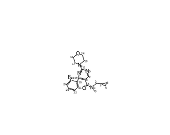 CN(CC1CC1)C(=O)c1cnc(N2CCOCC2)nc1-c1ccccc1F